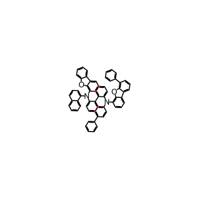 c1ccc(-c2ccc(N(c3ccccc3-c3ccccc3N(c3cccc4ccccc34)c3cccc4c3oc3ccccc34)c3cccc4c3oc3c(-c5ccccc5)cccc34)cc2)cc1